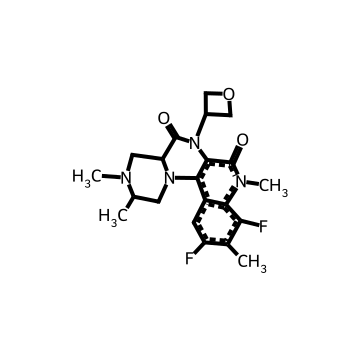 Cc1c(F)cc2c3c(c(=O)n(C)c2c1F)N(C1COC1)C(=O)C1CN(C)C(C)CN31